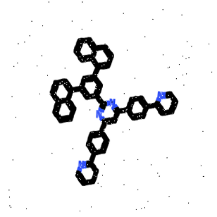 C1=CN=C(c2ccc(-c3cc(-c4ccc(-c5ccccn5)cc4)nc(-c4cc(-c5cccc6ccccc56)cc(-c5cccc6ccccc56)c4)n3)cc2)CC1